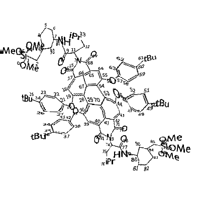 CO[Si](CC1CCCC(NC(=O)C(CC(C)C)N2C(=O)c3cc(Oc4ccc(C(C)(C)C)cc4)c4c5c(Oc6ccc(C(C)(C)C)cc6)cc6c7c(cc(Oc8ccc(C(C)(C)C)cc8)c(c8c(Oc9ccc(C(C)(C)C)cc9)cc(c3c48)C2=O)c75)C(=O)N(C(CC(C)C)C(=O)NC2CCCC(C[Si](OC)(OC)OC)C2)C6=O)C1)(OC)OC